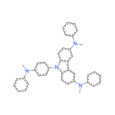 CN(c1ccccc1)c1ccc(-n2c3ccc(N(C)c4ccccc4)cc3c3cc(N(C)c4ccccc4)ccc32)cc1